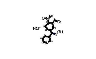 Cl.O=Cc1cc(/C(=N\O)c2cccnc2)ccc1[N+](=O)[O-]